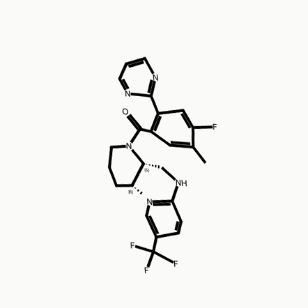 Cc1cc(C(=O)N2CCC[C@@H](C)[C@H]2CNc2ccc(C(F)(F)F)cn2)c(-c2ncccn2)cc1F